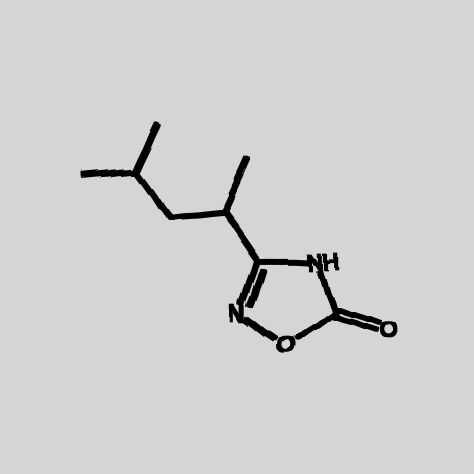 CC(C)CC(C)c1noc(=O)[nH]1